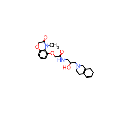 CN1C(=O)COc2cccc(OCC(=O)NCC(O)CN3CCC4=C(CCC=C4)C3)c21